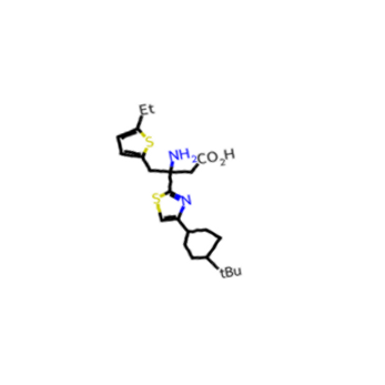 CCc1ccc(CC(N)(CC(=O)O)c2nc(C3CCC(C(C)(C)C)CC3)cs2)s1